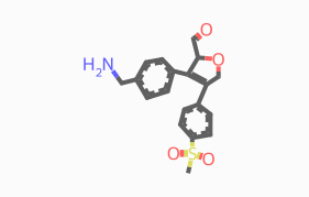 CS(=O)(=O)c1ccc(C2=C(c3ccc(CN)cc3)C(C=O)OC2)cc1